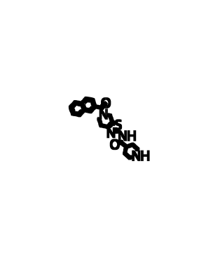 O=C(Nc1nc2c(s1)CN(C(=O)c1ccc3ccccc3c1)CC2)C1CCNCC1